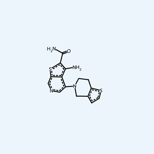 NC(=O)c1sc2cncc(N3CCc4sccc4C3)c2c1N